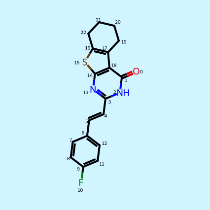 O=c1[nH]c(C=Cc2ccc(F)cc2)nc2sc3c(c12)CCCC3